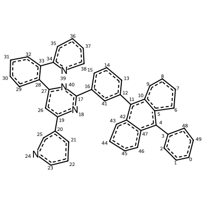 c1ccc(-c2c3ccccc3c(-c3cccc(-c4nc(-c5cccnc5)cc(-c5ccccc5-c5ccccn5)n4)c3)c3ccccc23)cc1